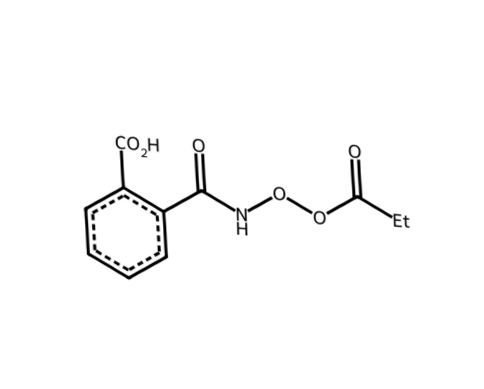 CCC(=O)OONC(=O)c1ccccc1C(=O)O